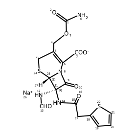 NC(=O)OCC1=C(C(=O)[O-])N2C(=O)[C@@](NC=O)(NC(=O)Cc3cccs3)[C@@H]2SC1.[Na+]